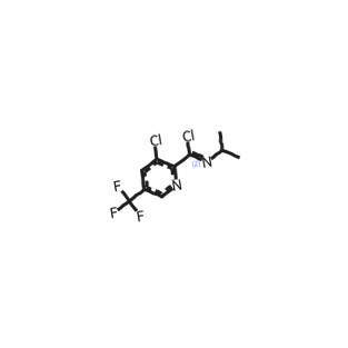 CC(C)/N=C(\Cl)c1ncc(C(F)(F)F)cc1Cl